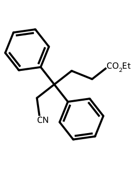 CCOC(=O)CCC(CC#N)(c1ccccc1)c1ccccc1